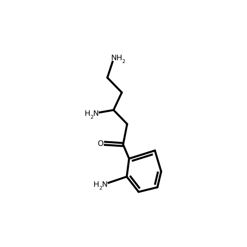 NCCC(N)CC(=O)c1ccccc1N